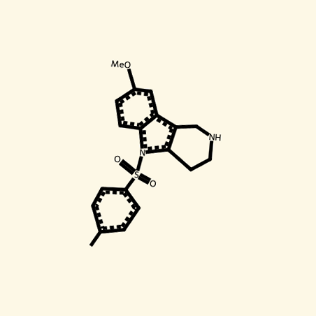 COc1ccc2c(c1)c1c(n2S(=O)(=O)c2ccc(C)cc2)CCNC1